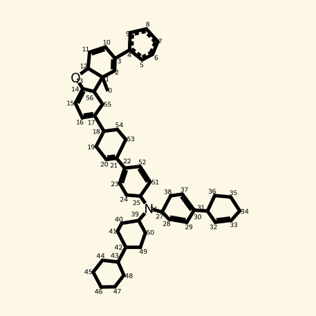 CC12C=C(c3ccccc3)C=CC1OC1=CC=C(C3CC=C(C4=CCC(N(C5C=CC(C6C=CCCC6)=CC5)C5CCC(C6CCCCC6)CC5)C=C4)CC3)CC12